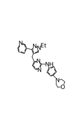 CCn1cc(Cc2ccnc(Nc3ccc(N4CCOCC4)cc3)n2)c(-c2cccnc2)n1